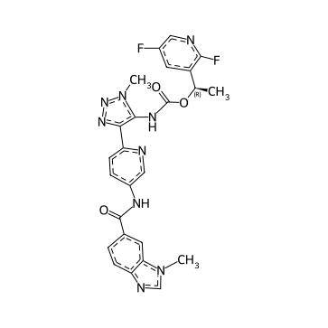 C[C@@H](OC(=O)Nc1c(-c2ccc(NC(=O)c3ccc4ncn(C)c4c3)cn2)nnn1C)c1cc(F)cnc1F